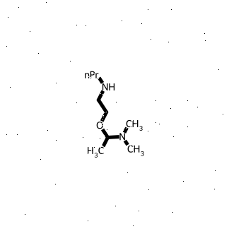 CCCNCCOC(C)N(C)C